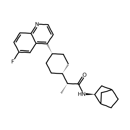 C[C@@H](C(=O)N[C@H]1CC2CCC1C2)[C@H]1CC[C@@H](c2ccnc3ccc(F)cc32)CC1